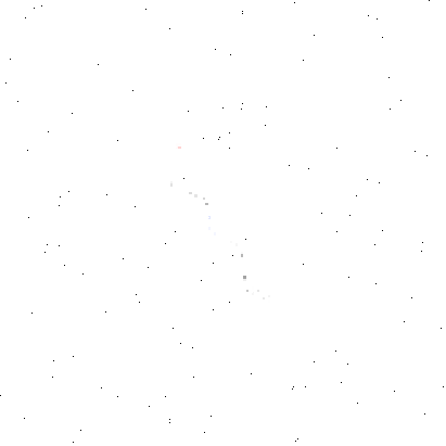 C=CCNCCO